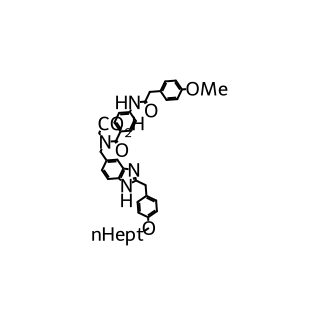 CCCCCCCOc1ccc(Cc2nc3cc(CN(CC(=O)O)C(=O)c4ccc(NC(=O)Cc5ccc(OC)cc5)cc4)ccc3[nH]2)cc1